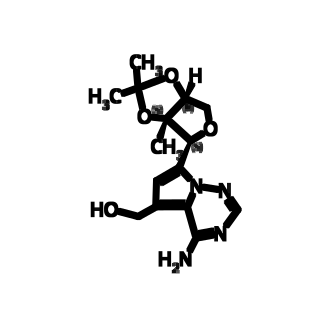 CC1(C)O[C@@H]2CO[C@@H](c3cc(CO)c4c(N)ncnn34)[C@]2(C)O1